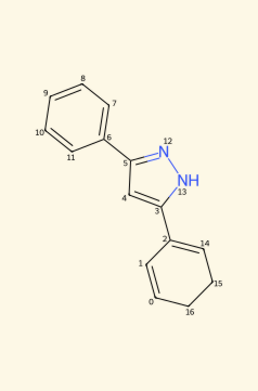 C1=CC(c2cc(-c3ccccc3)n[nH]2)=CCC1